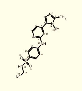 Cc1ncc(-c2ccnc(Nc3ccc(S(=O)(=O)NCC#N)cc3)n2)n1C(C)C